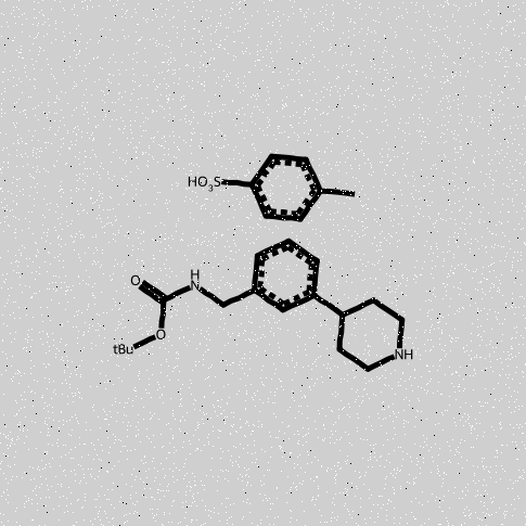 CC(C)(C)OC(=O)NCc1cccc(C2CCNCC2)c1.Cc1ccc(S(=O)(=O)O)cc1